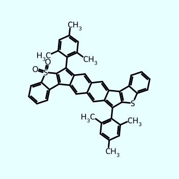 Cc1cc(C)c(C2=c3cc4cc5c(cc4cc3C3=C2S(=O)(=O)c2ccccc23)=C(c2c(C)cc(C)cc2C)c2sc3ccccc3c2-5)c(C)c1